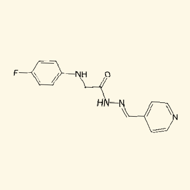 O=C(CNc1ccc(F)cc1)N/N=C/c1ccncc1